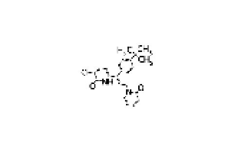 CC(C)(C)c1ccc(/C(=C\Cn2ccccc2=O)c2ccc(Cl)c(=O)[nH]2)cc1